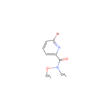 CON(C)C(=O)c1cccc(Br)n1